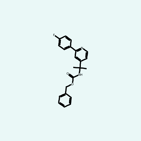 CC(C)(NC(=O)OCc1ccccc1)c1ccnc(-c2ccc(F)cc2)c1